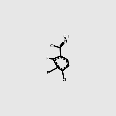 ON=C(Cl)c1ccc(Cl)c(F)c1F